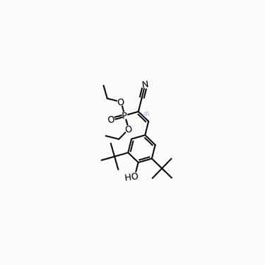 CCOP(=O)(OCC)/C(C#N)=C\c1cc(C(C)(C)C)c(O)c(C(C)(C)C)c1